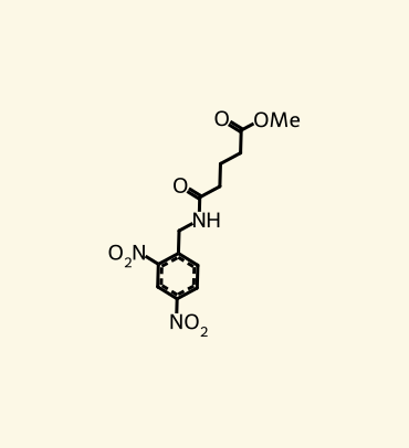 COC(=O)CCCC(=O)NCc1ccc([N+](=O)[O-])cc1[N+](=O)[O-]